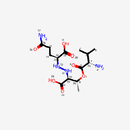 CC(C)[C@H](N)C(=O)O[C@H](C)[C@H](NN[C@@H](CCC(N)=O)C(=O)O)C(=O)O